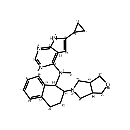 CN(c1ncnc2[nH]c(C3CC3)cc12)C1c2ccccc2CCC1N1CC2COCC2C1